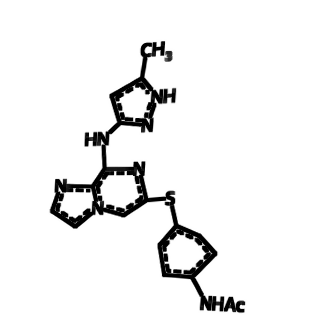 CC(=O)Nc1ccc(Sc2cn3ccnc3c(Nc3cc(C)[nH]n3)n2)cc1